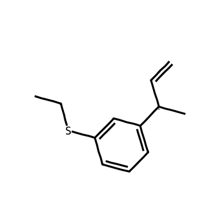 C=C[C](C)c1cccc(SCC)c1